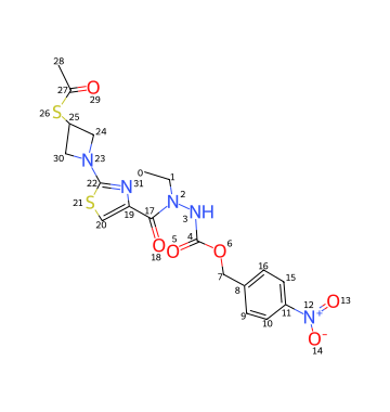 CCN(NC(=O)OCc1ccc([N+](=O)[O-])cc1)C(=O)c1csc(N2CC(SC(C)=O)C2)n1